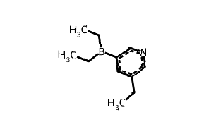 CCB(CC)c1cncc(CC)c1